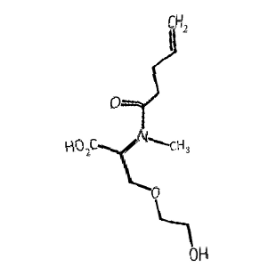 C=CCCC(=O)N(C)C(COCCO)C(=O)O